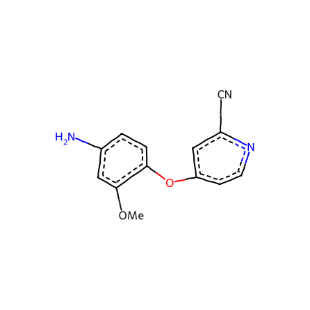 COc1cc(N)ccc1Oc1ccnc(C#N)c1